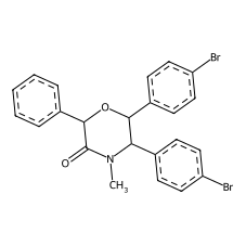 CN1C(=O)C(c2ccccc2)OC(c2ccc(Br)cc2)C1c1ccc(Br)cc1